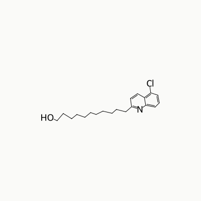 OCCCCCCCCCCCc1ccc2c(Cl)cccc2n1